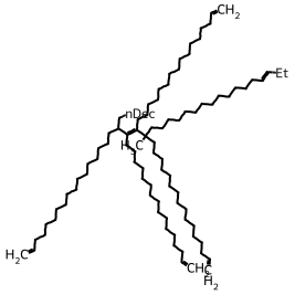 C=CCCCCCCCCCCCCCCCC(CCCCCCCCCCC)C(CCCCCCCCCCCCCCC=C)=C(CCCCCCCCCCCCCCC=C)C(C)(CCCCCCCCCCCCCC=CCC)CCCCCCCCCCCCCCC=C